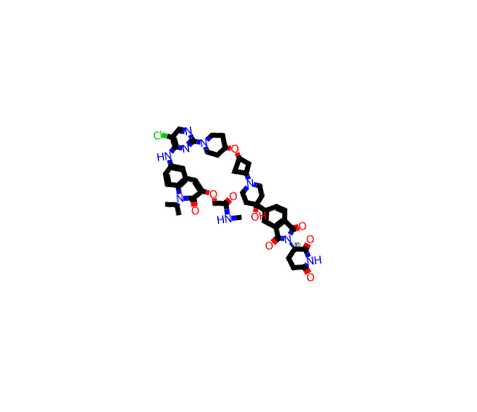 CNC(=O)COc1cc2cc(Nc3nc(N4CCC(OC5CC(N6CCC(O)(c7ccc8c(c7)C(=O)N([C@@H]7CCC(=O)NC7=O)C8=O)CC6)C5)CC4)ncc3Cl)ccc2n(C(C)C)c1=O